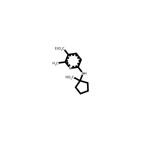 CCOC(=O)c1ccc(NC2(C(=O)O)CCCC2)nc1C